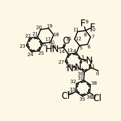 Cc1nc2c(C3CCC(F)(F)CC3)c(C(=O)N[C@H]3CCCc4ccccc43)cnn2c1-c1cc(Cl)cc(Cl)c1